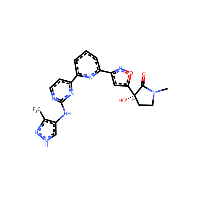 CN1CC[C@@](O)(c2cc(-c3cccc(-c4ccnc(Nc5c[nH]nc5C(F)(F)F)n4)n3)no2)C1=O